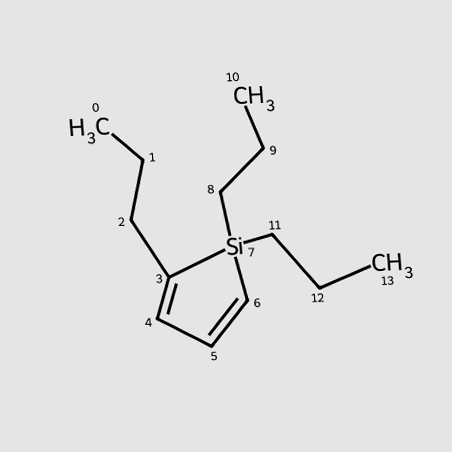 CCCC1=CC=C[Si]1(CCC)CCC